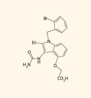 CCc1c(NC(N)=O)c2c(OCC(=O)O)cccc2n1Cc1ccccc1Br